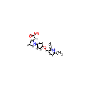 Cc1ccc(COc2ccc(N3CCC[C@H]3CC(=O)O)cc2)c(C)n1